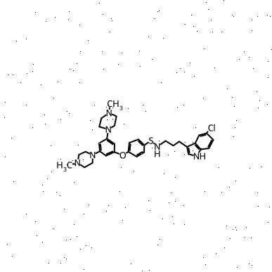 CN1CCN(c2cc(Oc3ccc(SNCCCc4c[nH]c5ccc(Cl)cc45)cc3)cc(N3CCN(C)CC3)c2)CC1